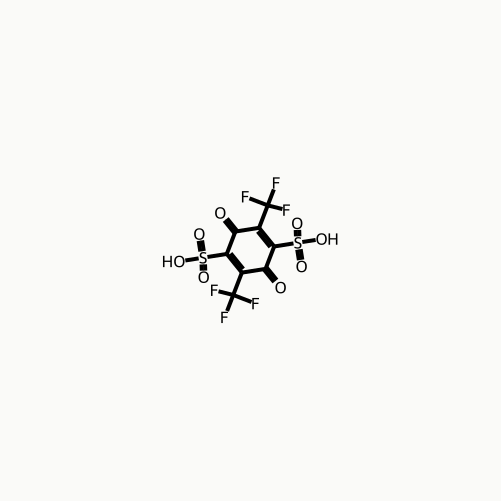 O=C1C(C(F)(F)F)=C(S(=O)(=O)O)C(=O)C(C(F)(F)F)=C1S(=O)(=O)O